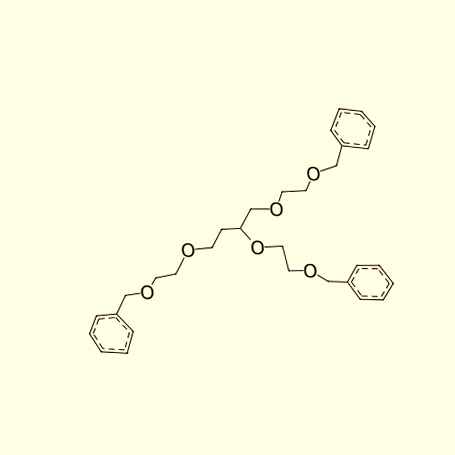 c1ccc(COCCOCCC(COCCOCc2ccccc2)OCCOCc2ccccc2)cc1